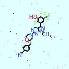 Cn1nc(-c2cc(C(F)(F)F)c(F)c(O)c2F)c2cnc(N3CCO[C@@H](Cc4ccc(C#N)cc4)C3)nc21